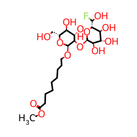 COC(=O)CCCCCCCCO[C@H]1O[C@H](CO)[C@@H](O)[C@H](O)[C@H]1O[C@H]1O[C@H](C(O)F)[C@@H](O)[C@H](O)[C@H]1O